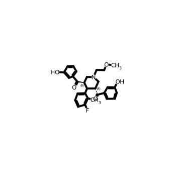 COCCN1C[C@H](C(=O)c2cccc(O)c2)C(c2cccc(F)c2C)[C@@H](C(=O)c2cccc(O)c2)C1